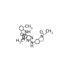 C=CC(=O)N1CCc2ccc(Nc3ncc4c(Nc5c(C)cccc5C)nn(C)c4n3)cc2C1